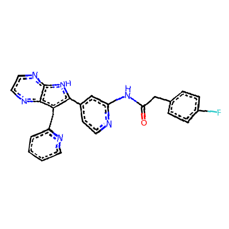 O=C(Cc1ccc(F)cc1)Nc1cc(-c2[nH]c3nccnc3c2-c2ccccn2)ccn1